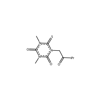 CC(C)C(=O)Cn1c(=O)n(C)c(=O)n(C)c1=S